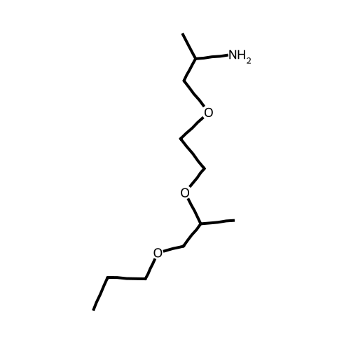 CCCOCC(C)OCCOCC(C)N